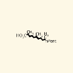 CCCCCC(C)CC/C=C(\C)CCCC(C)C(=O)O